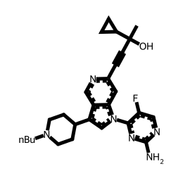 CCCCN1CCC(c2cn(-c3nc(N)ncc3F)c3cc(C#CC(C)(O)C4CC4)ncc23)CC1